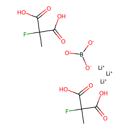 CC(F)(C(=O)O)C(=O)O.CC(F)(C(=O)O)C(=O)O.[Li+].[Li+].[Li+].[O-]B([O-])[O-]